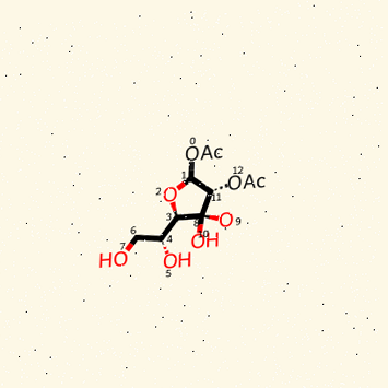 CC(=O)OC1O[C@H]([C@H](O)CO)[C@@]([O])(O)[C@H]1OC(C)=O